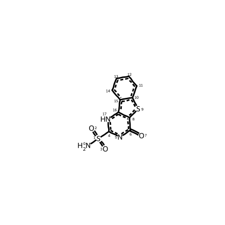 NS(=O)(=O)c1nc(=O)c2sc3ccccc3c2[nH]1